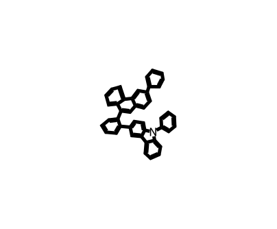 c1ccc(-c2ccc3cc(-c4ccccc4-c4ccc5c(c4)c4ccccc4n5-c4ccccc4)c4ccccc4c3c2)cc1